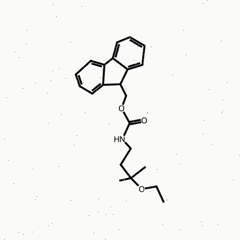 CCOC(C)(C)CCNC(=O)OCC1c2ccccc2-c2ccccc21